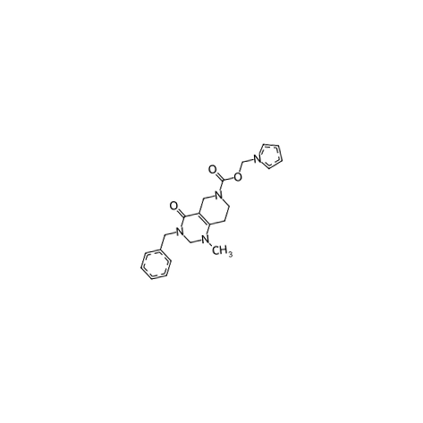 CN1CN(Cc2ccccc2)C(=O)C2=C1CCN(C(=O)OCn1cccc1)C2